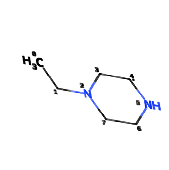 CCN1C[CH]NCC1